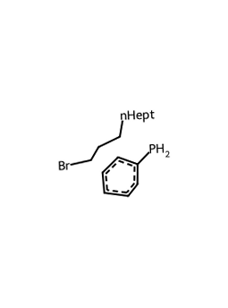 CCCCCCCCCCBr.Pc1ccccc1